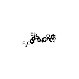 CCOC1Cc2cc(C(F)(F)F)ccc2[C@H]1N1CCN(C2(C)CCN(C(=O)c3ccnc4ncccc34)CC2)CC1C